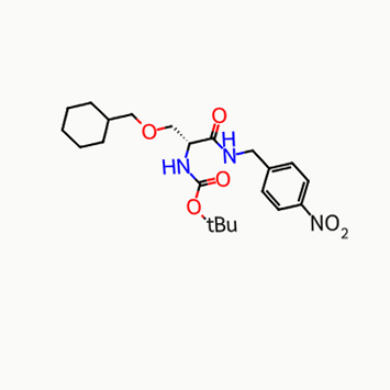 CC(C)(C)OC(=O)N[C@H](COCC1CCCCC1)C(=O)NCc1ccc([N+](=O)[O-])cc1